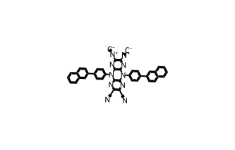 [C-]#[N+]c1nc2c(nc1[N+]#[C-])N(c1ccc(-c3ccc4ccccc4c3)cc1)c1nc(C#N)c(C#N)nc1N2c1ccc(-c2ccc3ccccc3c2)cc1